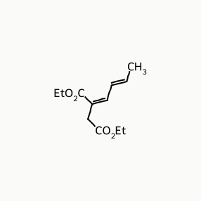 CC=CC=C(CC(=O)OCC)C(=O)OCC